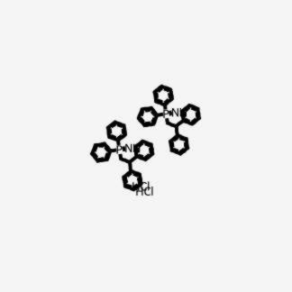 Cl.Cl.N=P(CC(c1ccccc1)c1ccccc1)(c1ccccc1)c1ccccc1.N=P(CC(c1ccccc1)c1ccccc1)(c1ccccc1)c1ccccc1